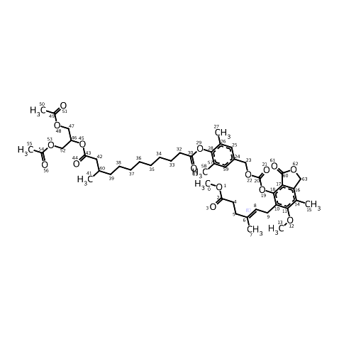 COC(=O)CC/C(C)=C/Cc1c(OC)c(C)c2c(c1OC(=O)OCc1cc(C)c(OC(=O)CCCCCCCCC(C)CC(=O)OC(COC(C)=O)COC(C)=O)c(C)c1)C(=O)OC2